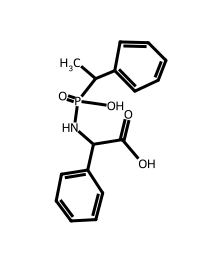 CC(c1ccccc1)P(=O)(O)NC(C(=O)O)c1ccccc1